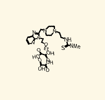 CCOCCn1c(CN2CCN(CCNC(=S)NC)CC2)nc2cccnc21.O=C(O)C(=O)O.O=C(O)C(=O)O